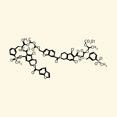 CCOC(=O)OC(C)OC(=O)[C@H](Cc1cccc(S(C)(=O)=O)c1)NC(=O)c1c(Cl)cc2c(c1Cl)CCN(C(=O)c1ccc3cc(COC(=O)OC(C)OC(=O)[C@H](Cc4cccc(S(C)(=O)=O)c4)NC(=O)c4c(Cl)cc5c(c4Cl)CCN(C(=O)c4ccc6ccoc6c4)C5)oc3c1)C2